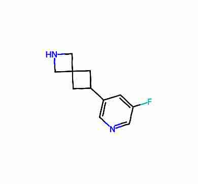 Fc1cncc(C2CC3(CNC3)C2)c1